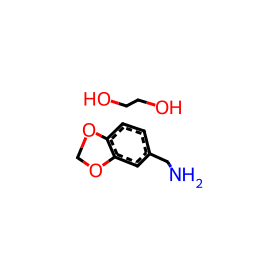 NCc1ccc2c(c1)OCO2.OCCO